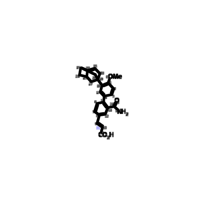 COc1ccc(-c2ccc(/C=C/C(=O)O)cc2C(N)=O)cc1C12CC=C3C(CC3C1)C2